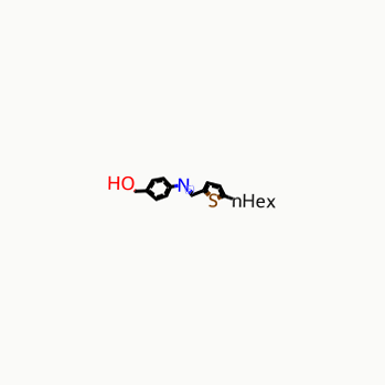 CCCCCCc1ccc(/C=N/c2ccc(CO)cc2)s1